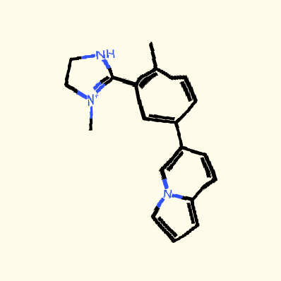 Cc1ccc(-c2ccc3cccn3c2)cc1C1=[N+](C)CCN1